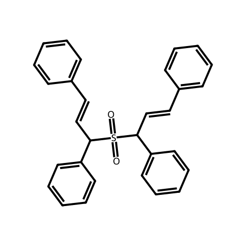 O=S(=O)(C(C=Cc1ccccc1)c1ccccc1)C(C=Cc1ccccc1)c1ccccc1